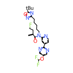 C=C(CCF)C(=O)N(CCCCCc1noc(C(C)(C)C)n1)c1cc(-c2ncc(OC(F)F)cn2)ccn1